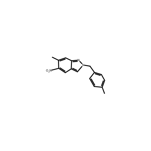 Cc1ccc(Cn2cc3cc([N+](=O)[O-])c(C)cc3n2)cc1